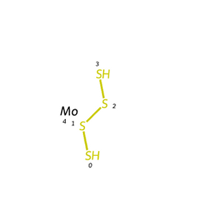 SSSS.[Mo]